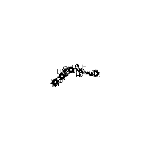 O=C(CNC(=O)c1ccc(S(=O)(=O)Nc2ccc(Oc3ccccc3)cc2)cc1)NCCCN1CCCCC1